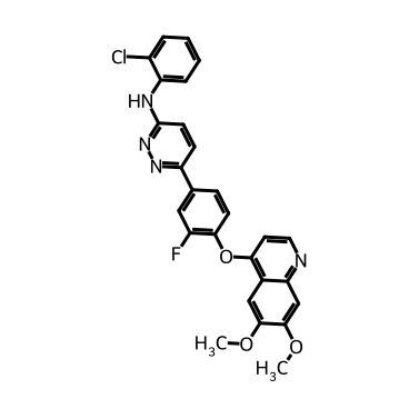 COc1cc2nccc(Oc3ccc(-c4ccc(Nc5ccccc5Cl)nn4)cc3F)c2cc1OC